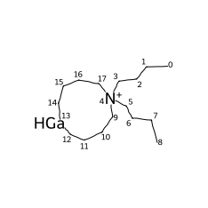 CCCC[N+]1(CCCC)CCC[CH2][GaH][CH2]CCC1